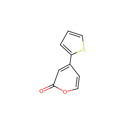 O=c1cc(-c2cccs2)cco1